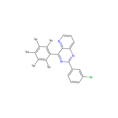 [2H]c1c([2H])c([2H])c(-c2nc(-c3cccc(Br)c3)nc3cccnc23)c([2H])c1[2H]